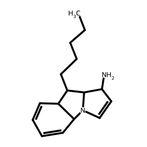 CCCCCC1C2C=CC=CC2N2C=CC(N)C12